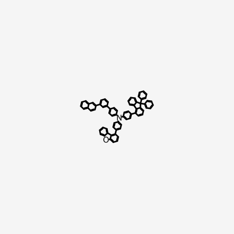 c1ccc(C2(c3ccccc3)c3ccccc3-c3c(-c4ccc(N(c5ccc(-c6cccc(-c7ccc8ccccc8c7)c6)cc5)c5ccc(-c6cccc7oc8ccccc8c67)cc5)cc4)cccc32)cc1